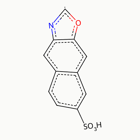 O=S(=O)(O)c1ccc2cc3n[c]oc3cc2c1